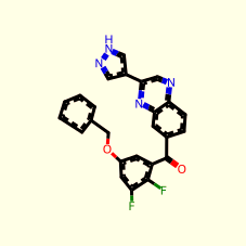 O=C(c1ccc2ncc(-c3cn[nH]c3)nc2c1)c1cc(OCc2ccccc2)cc(F)c1F